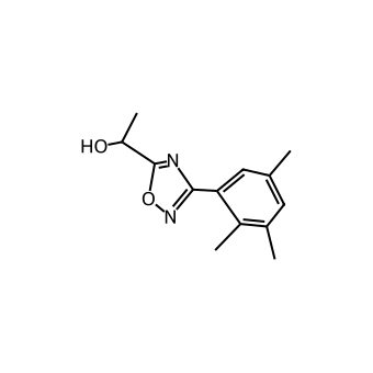 Cc1cc(C)c(C)c(-c2noc(C(C)O)n2)c1